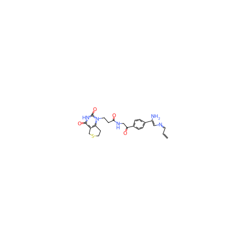 C=C/C=N\C=C(/N)c1ccc(C(=O)CNC(=O)CCn2c3c(c(=O)[nH]c2=O)CSCC3)cc1